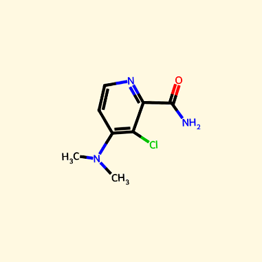 CN(C)c1ccnc(C(N)=O)c1Cl